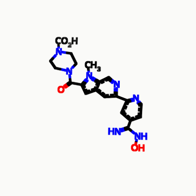 Cn1c(C(=O)N2CCN(C(=O)O)CC2)cc2cc(-c3cc(C(=N)NO)ccn3)ncc21